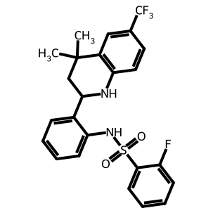 CC1(C)CC(c2ccccc2NS(=O)(=O)c2ccccc2F)Nc2ccc(C(F)(F)F)cc21